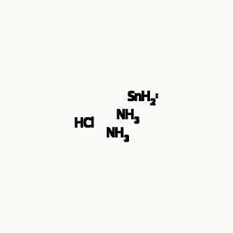 Cl.N.N.[SnH2]